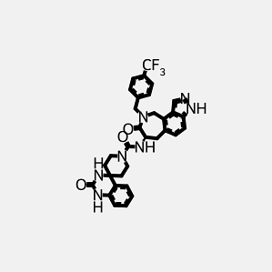 O=C1Nc2ccccc2C2(CCN(C(=O)N[C@@H]3Cc4ccc5[nH]ncc5c4CN(Cc4ccc(C(F)(F)F)cc4)C3=O)CC2)N1